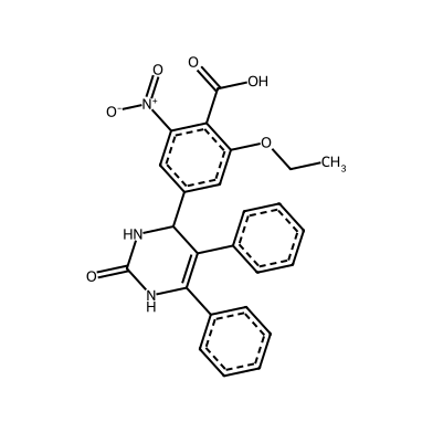 CCOc1cc(C2NC(=O)NC(c3ccccc3)=C2c2ccccc2)cc([N+](=O)[O-])c1C(=O)O